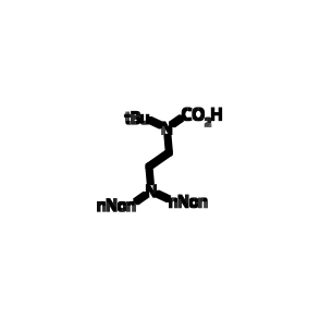 CCCCCCCCCN(CCCCCCCCC)CCN(C(=O)O)C(C)(C)C